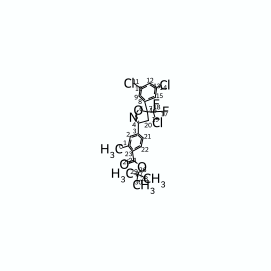 Cc1cc(C2=NOC(c3cc(Cl)cc(Cl)c3)(C(F)(F)Cl)C2)ccc1C(=O)OC(C)(C)C